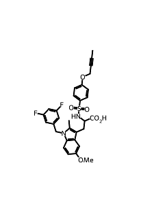 CC#CCOc1ccc(S(=O)(=O)NC(Cc2c(C)n(Cc3cc(F)cc(F)c3)c3ccc(OC)cc23)C(=O)O)cc1